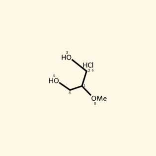 COC(CO)CO.Cl